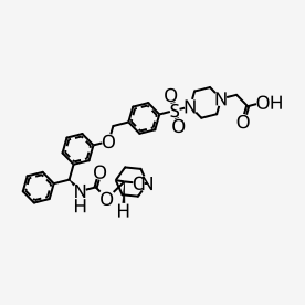 O=C(O)CN1CCN(S(=O)(=O)c2ccc(COc3cccc([C@@H](NC(=O)O[C@H]4CN5CCC4CC5)c4ccccc4)c3)cc2)CC1